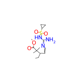 CCC(/C=C\N=C(/N)NS(=O)(=O)C1CC1)C(C)(C)C(=O)OC